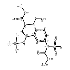 CC[Si](CC)(CC)O[C@@H](CN(CCO)C(=O)OC(C)(C)C)c1cccc(N(C(=O)OC(C)(C)C)S(C)(=O)=O)c1